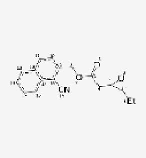 CCC1OC1CC(=O)OCc1ccc2ccccc2c1C#N